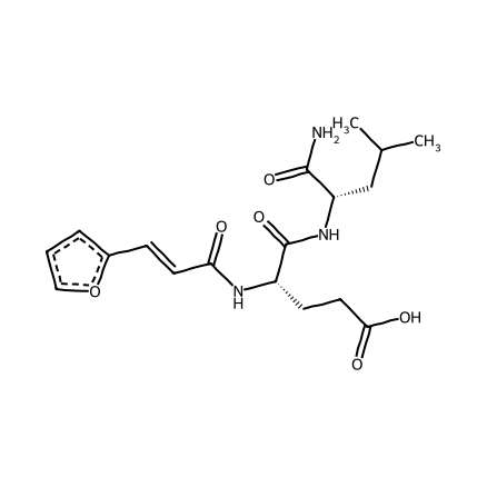 CC(C)C[C@H](NC(=O)[C@H](CCC(=O)O)NC(=O)C=Cc1ccco1)C(N)=O